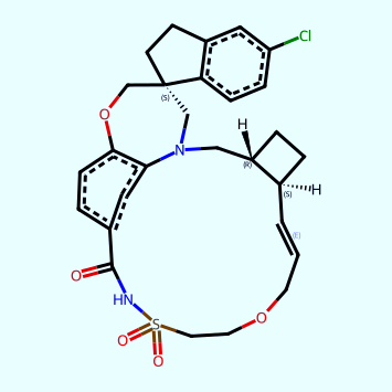 O=C1NS(=O)(=O)CCOC/C=C/[C@@H]2CC[C@H]2CN2C[C@@]3(CCc4cc(Cl)ccc43)COc3ccc1cc32